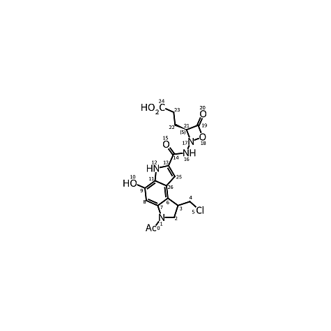 CC(=O)N1CC(CCl)c2c1cc(O)c1[nH]c(C(=O)NN3OC(=O)[C@@H]3CCC(=O)O)cc21